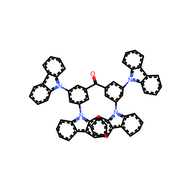 O=C(c1cc(-n2c3ccccc3c3ccccc32)cc(-n2c3ccccc3c3ccccc32)c1)c1cc(-n2c3ccccc3c3ccccc32)cc(-n2c3ccccc3c3ccccc32)c1